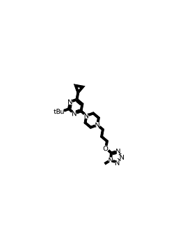 Cn1nnnc1OCCCN1CCN(c2cc(C3CC3)nc(C(C)(C)C)n2)CC1